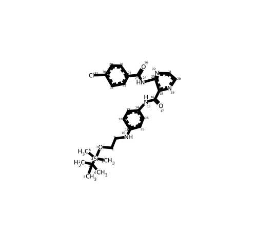 CC(C)(C)[Si](C)(C)OCCNc1ccc(NC(=O)c2nccnc2NC(=O)c2ccc(Cl)cc2)cc1